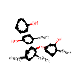 CCCCCc1ccc(O)c(CCCCC)c1.CCCCCc1ccc(O)cc1.CCCCCc1ccccc1O.Oc1ccccc1